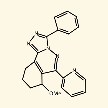 COC1CCCc2c1c(-c1ccccn1)nn1c(-c3ccccc3)nnc21